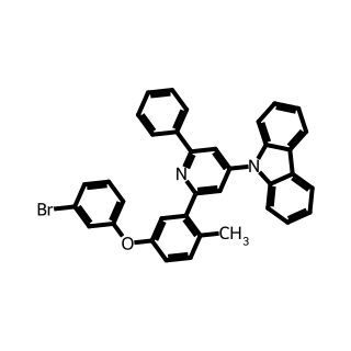 Cc1ccc(Oc2cccc(Br)c2)cc1-c1cc(-n2c3ccccc3c3ccccc32)cc(-c2ccccc2)n1